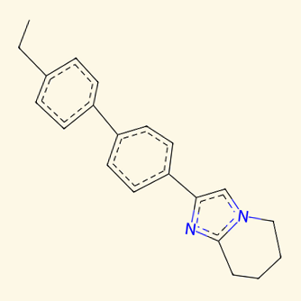 CCc1ccc(-c2ccc(-c3cn4c(n3)CCCC4)cc2)cc1